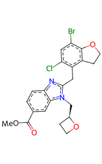 COC(=O)c1ccc2nc(Cc3c(Cl)cc(Br)c4c3CCO4)n(C[C@@H]3CCO3)c2c1